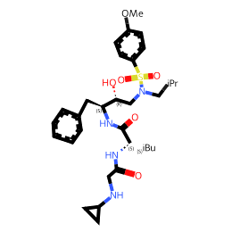 CC[C@H](C)[C@H](NC(=O)CNC1CC1)C(=O)N[C@@H](Cc1ccccc1)[C@H](O)CN(CC(C)C)S(=O)(=O)c1ccc(OC)cc1